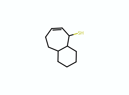 SC1C=CCCC2CCCCC12